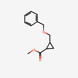 COC(=O)C1CC1COCc1ccccc1